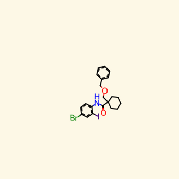 O=C(Nc1ccc(Br)cc1I)C1(COCc2ccccc2)CCCCC1